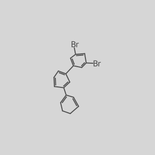 Brc1cc(Br)cc(-c2cccc(C3=CCCC=C3)c2)c1